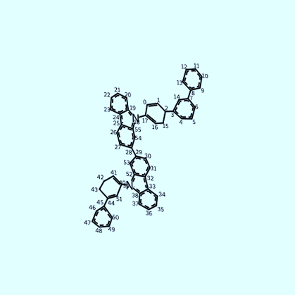 C1=CC(c2cccc(-c3ccccc3)c2)CC=C1n1c2ccccc2c2ccc(-c3ccc4c5ccccc5n(C5=CCCC(c6ccccc6)=C5)c4c3)cc21